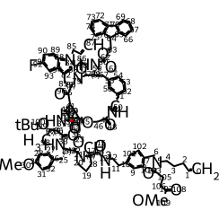 C=CCCCN(Cc1ccc(CCNC(=O)[C@]2(C)CCCN2C(=O)[C@H](Cc2ccc(OC)cc2)NC(=O)[C@@H](NC(=O)[C@H]2C3CC[C@@H]2OCC(=O)NCc2cccc(c2)C[C@H](NC(=O)OCC2c4ccccc4-c4ccccc42)C(=O)N[C@@H](Cc2cn(CC=C)c4ccc(F)cc24)C3=O)[C@@H](C)OC(C)(C)C)cc1)C(=O)CCC(=O)OC